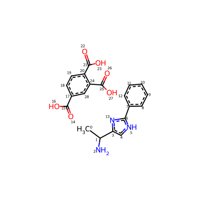 CC(N)c1c[nH]c(-c2ccccc2)n1.O=C(O)c1ccc(C(=O)O)c(C(=O)O)c1